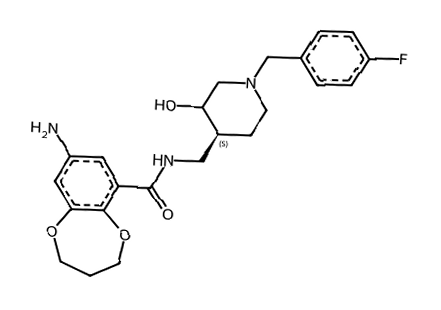 Nc1cc2c(c(C(=O)NC[C@@H]3CCN(Cc4ccc(F)cc4)CC3O)c1)OCCCO2